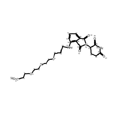 O=C(O)CCOCCOCCOCCCNc1cccc2c1C(=O)N(C1CCC(=O)NC1=O)C2=O